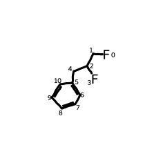 FCC(F)Cc1ccccc1